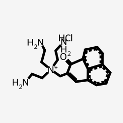 Cl.NCC[N+](CCN)(CCN)CC1=Cc2cccc3cccc(c23)C1=O